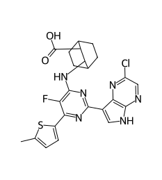 Cc1ccc(-c2nc(-c3c[nH]c4ncc(Cl)nc34)nc(NC3C4CCC(CC4)C3C(=O)O)c2F)s1